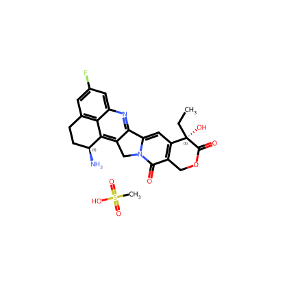 CC[C@@]1(O)C(=O)OCc2c1cc1n(c2=O)Cc2c-1nc1cc(F)cc3c1c2[C@@H](N)CC3.CS(=O)(=O)O